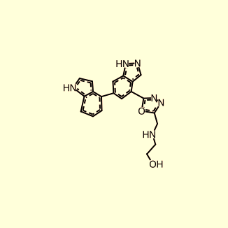 OCCNCc1nnc(-c2cc(-c3cccc4[nH]ccc34)cc3[nH]ncc23)o1